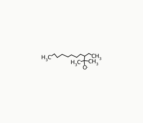 CCCCCCCCC(CC)C(C)(C)[O]